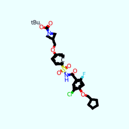 CC(C)(C)OC(=O)N1CC(COc2ccc(S(=O)(=O)NC(=O)c3cc(Cl)c(OCC4CCCC4)cc3F)cc2)C1